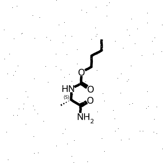 CCCCOC(=O)N[C@@H](C)C(N)=O